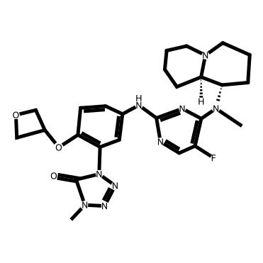 CN(c1nc(Nc2ccc(OC3COC3)c(-n3nnn(C)c3=O)c2)ncc1F)[C@H]1CCCN2CCCC[C@H]12